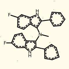 CN(c1c(-c2ccccc2)[nH]c2cc(F)ccc12)c1c(-c2ccccc2)[nH]c2cc(F)ccc12